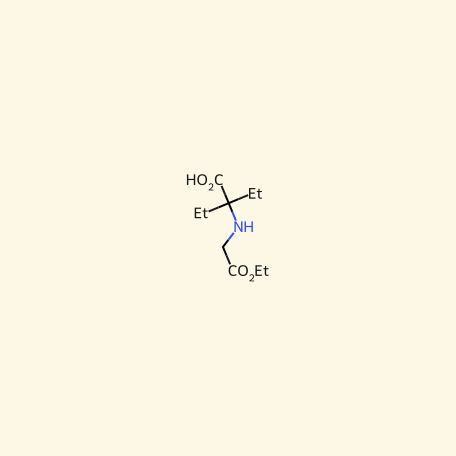 CCOC(=O)CNC(CC)(CC)C(=O)O